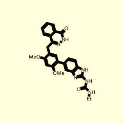 CCNC(=O)Nc1nc2cc(-c3cc(Cc4n[nH]c(=O)c5ccccc45)c(OC)cc3OC)ccc2[nH]1